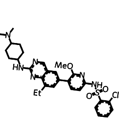 CCc1cc(-c2ccc(NS(=O)(=O)c3ccccc3Cl)nc2OC)cc2cnc(NC3CCC(N(C)C)CC3)nc12